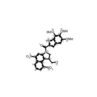 COc1cc2cc(C(=O)N3CC(CCl)c4c3cc([N+](=O)[O-])c3cccc([N+](=O)[O-])c43)[nH]c2c(OC)c1OC